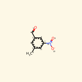 Cc1cc(C=O)cc([N+](=O)[O-])c1